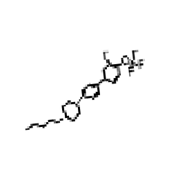 CCCCC[C@H]1CC[C@H](c2ccc(-c3ccc(OC(F)(F)F)c(F)c3)cc2)CC1